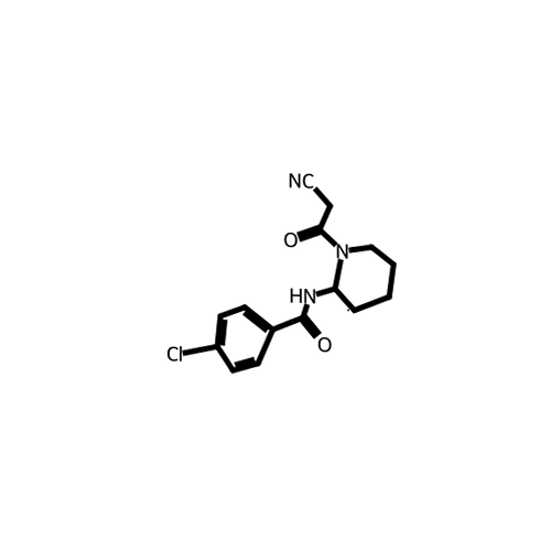 N#CCC(=O)N1CCC[CH]C1NC(=O)c1ccc(Cl)cc1